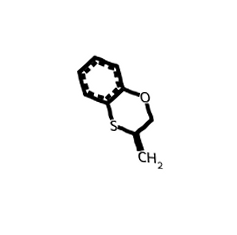 C=C1COc2ccccc2S1